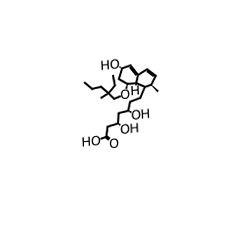 CCCC(C)(CC)CO[C@H]1C[C@H](O)C=C2C=C[C@@H](C)C(CC[C@@H](O)C[C@@H](O)CC(=O)O)[C@H]21